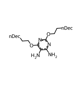 CCCCCCCCCCCCOc1nc(N)c(N)c(OCCCCCCCCCCCC)n1